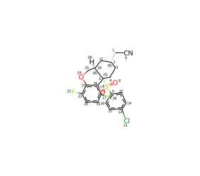 N#CC[C@@H]1CC[C@@]2(S(=O)(=O)c3ccc(Cl)cc3)c3c(F)ccc(F)c3OC[C@H]2C1